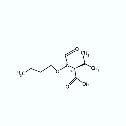 CCCCON(C=O)[C@H](C(=O)O)C(C)C